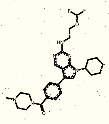 CN1CCN(C(=O)c2ccc(-c3cn(C4CCCCC4)c4nc(NCCOC(F)F)ncc34)cc2)CC1